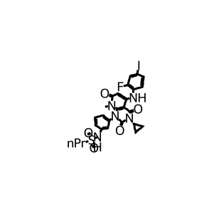 CCCS(=O)(=O)Nc1cccc(-n2c(=O)n(C3CC3)c(=O)c3c(Nc4ccc(I)cc4F)cc(=O)n(C)c32)c1